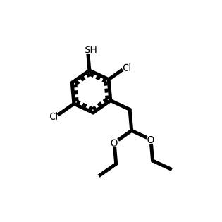 CCOC(Cc1cc(Cl)cc(S)c1Cl)OCC